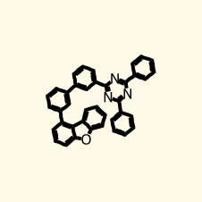 c1ccc(-c2nc(-c3ccccc3)nc(-c3cccc(-c4cccc(-c5cccc6oc7ccccc7c56)c4)c3)n2)cc1